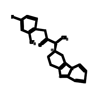 CN(C(=O)Cc1ccc(F)cc1C(F)(F)F)[C@@H]1CCc2[c]c3ccccn3c2C1